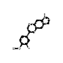 CCOc1ccc(-c2cnc3cc4[nH]ncc4cc3n2)cc1F